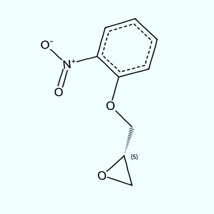 O=[N+]([O-])c1ccccc1OC[C@@H]1CO1